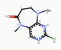 CCCCN1CCC(=O)N(C)c2cnc(Cl)nc21